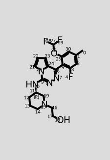 Cc1cc(F)c(-c2nnc(N[C@@H]3CCCN(CCO)C3)n3cccc23)c(OC(F)F)c1